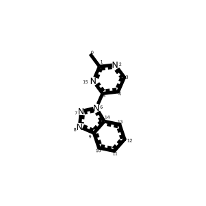 Cc1nccc(-n2nnc3ccccc32)n1